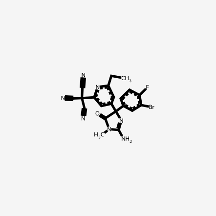 CCc1cc(C2(c3ccc(F)c(Br)c3)N=C(N)N(C)C2=O)cc(C(C#N)(C#N)C#N)n1